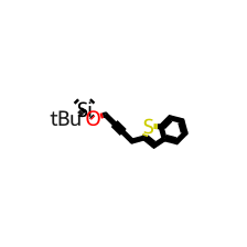 CC(C)(C)[Si](C)(C)OCC#CCc1cc2ccccc2s1